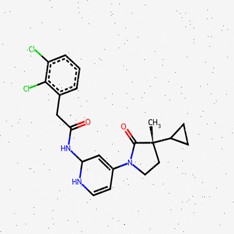 C[C@@]1(C2CC2)CCN(C2=CC(NC(=O)Cc3cccc(Cl)c3Cl)NC=C2)C1=O